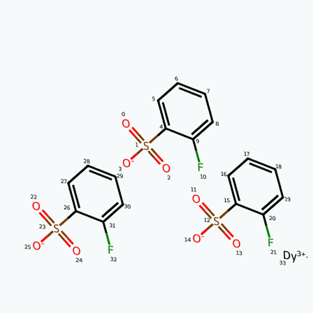 O=S(=O)([O-])c1ccccc1F.O=S(=O)([O-])c1ccccc1F.O=S(=O)([O-])c1ccccc1F.[Dy+3]